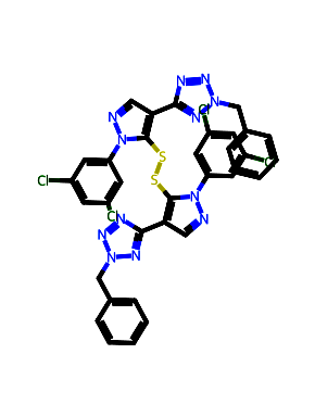 Clc1cc(Cl)cc(-n2ncc(-c3nnn(Cc4ccccc4)n3)c2SSc2c(-c3nnn(Cc4ccccc4)n3)cnn2-c2cc(Cl)cc(Cl)c2)c1